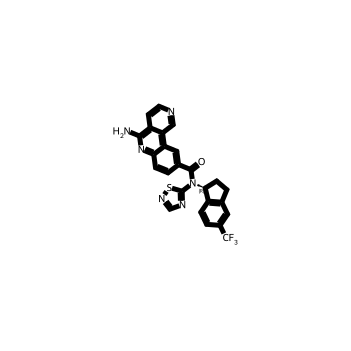 Nc1nc2ccc(C(=O)N(c3ncns3)[C@@H]3CCc4cc(C(F)(F)F)ccc43)cc2c2cnccc12